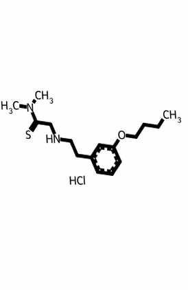 CCCCOc1cccc(CCNCC(=S)N(C)C)c1.Cl